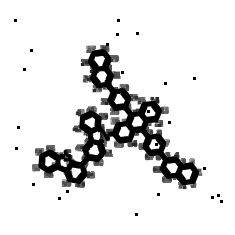 c1ccc2cc(-c3ccc(-c4c5ccccc5c(-c5ccc(-c6ccc7ccccc7c6)cc5)c5cc(-n6c7ccccc7c7cc(-c8cccc9c8sc8ccccc89)ccc76)ccc45)cc3)ccc2c1